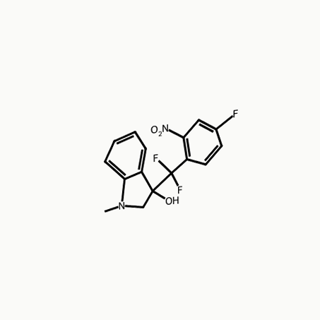 CN1CC(O)(C(F)(F)c2ccc(F)cc2[N+](=O)[O-])c2ccccc21